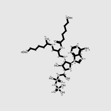 CCCCCCCCCCCCCCCC(=O)OC(CO[C@H]1[C@H](O)[C@@H](C(O)OP(=O)(O)OP(=O)(O)O)O[C@@H]1n1cnc2c(N)ncnc21)CSC(C)CCCCCCCCCCCCCC